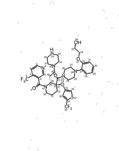 O=C(c1cnccc1C(F)(F)F)N1CCC[C@@](Oc2csc(C(F)(F)F)c2)(C(=O)N2CCN(c3ccccc3OCCO)CC2)[C@H]1CCN1CCNCC1